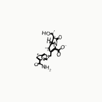 C[C@@H](O)[C@H]1C(=O)N2C(C(=O)[O-])=C(Cn3cc4scc(C(N)=O)[n+]4c3)[C@H](C)[C@H]12